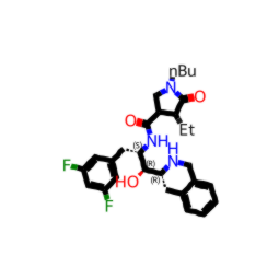 CCCCN1CC(C(=O)N[C@@H](Cc2cc(F)cc(F)c2)[C@H](O)[C@H]2Cc3ccccc3CN2)C(CC)C1=O